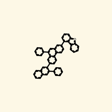 c1ccc(-c2cc3ccccc3cc2-c2ccc3c(c2)c(-c2ccccc2)cc2cc(-c4cccc5oc6ccccc6c45)ccc23)cc1